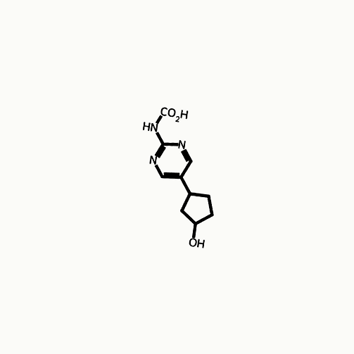 O=C(O)Nc1ncc(C2CCC(O)C2)cn1